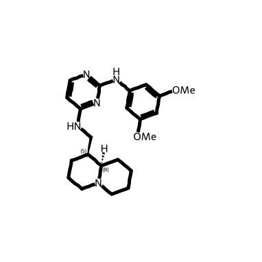 COc1cc(Nc2nccc(NC[C@@H]3CCCN4CCCC[C@H]34)n2)cc(OC)c1